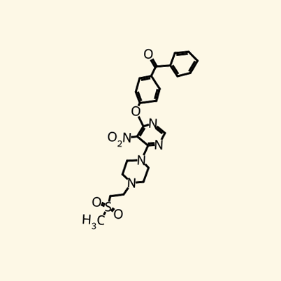 CS(=O)(=O)CCN1CCN(c2ncnc(Oc3ccc(C(=O)c4ccccc4)cc3)c2[N+](=O)[O-])CC1